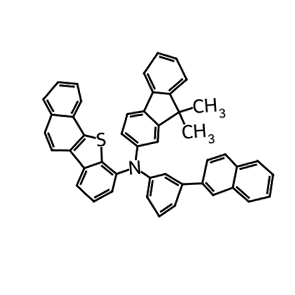 CC1(C)c2ccccc2-c2ccc(N(c3cccc(-c4ccc5ccccc5c4)c3)c3cccc4c3sc3c5ccccc5ccc43)cc21